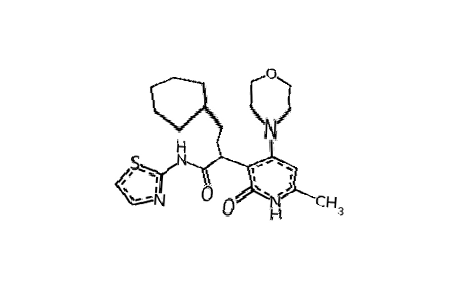 Cc1cc(N2CCOCC2)c(C(CC2CCCCC2)C(=O)Nc2nccs2)c(=O)[nH]1